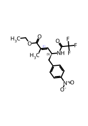 CCOC(=O)/C(C)=C/[C@H](Cc1ccc([N+](=O)[O-])cc1)NC(=O)C(F)(F)F